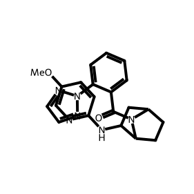 COc1ccc(NC2CC3CCC2N3C(=O)c2ccccc2-n2nccn2)nc1